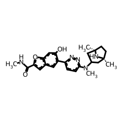 CNC(=O)c1cc2cc(-c3ccc(N(C)C4C[C@]5(C)CC[C@](C)(C4)N5)nn3)c(O)cc2o1